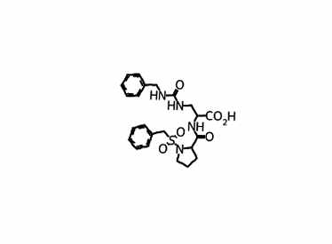 O=C(NCc1ccccc1)NCC(NC(=O)C1CCCN1S(=O)(=O)Cc1ccccc1)C(=O)O